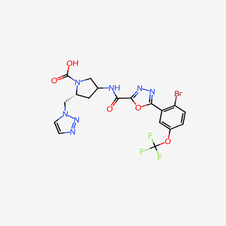 O=C(NC1C[C@H](Cn2ccnn2)N(C(=O)O)C1)c1nnc(-c2cc(OC(F)(F)F)ccc2Br)o1